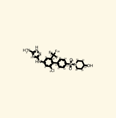 Nc1nc(Nc2cc(Cl)c(-c3ccc(S(=O)(=O)N4CCC(O)CC4)cc3)c(C(F)(F)F)c2)n[nH]1